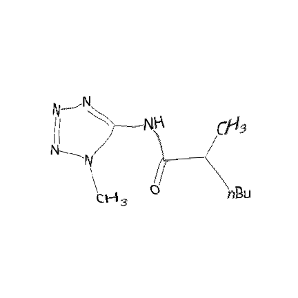 CCCCC(C)C(=O)Nc1nnnn1C